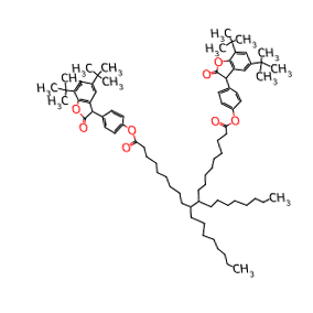 CCCCCCCCC(CCCCCCCCC(=O)Oc1ccc(C2C(=O)Oc3c2cc(C(C)(C)C)cc3C(C)(C)C)cc1)C(CCCCCCCC)CCCCCCCCC(=O)Oc1ccc(C2C(=O)Oc3c2cc(C(C)(C)C)cc3C(C)(C)C)cc1